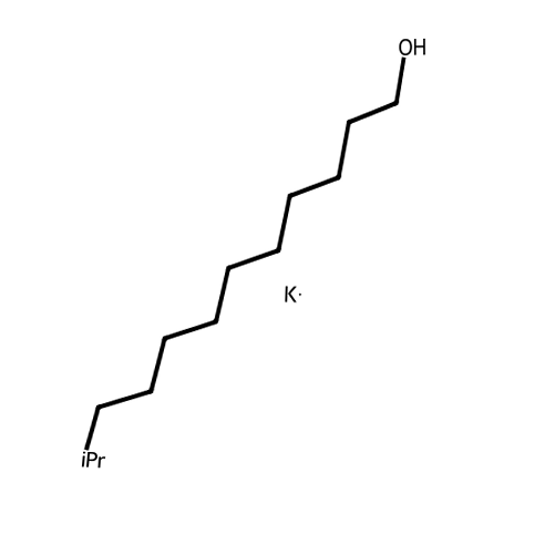 CC(C)CCCCCCCCCCO.[K]